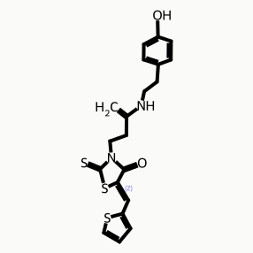 C=C(CCN1C(=O)/C(=C/c2cccs2)SC1=S)NCCc1ccc(O)cc1